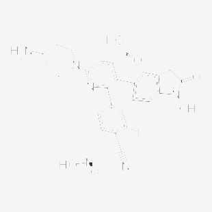 CN1C(=O)Cc2cc(-c3c(C(=O)O)cc(N4CCC(N)CC4)nc3-c3ccc(C#N)c(F)c3)ccc21.O=NO